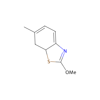 COC1=NC2=CC=C(C)CC2S1